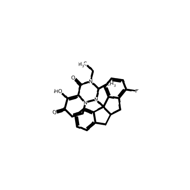 CCN1C(=O)c2c(O)c(=O)ccn2N(C23c4ccccc4CC2Cc2c(F)cccc23)C1C